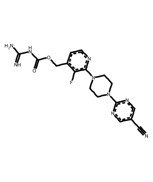 N#Cc1cnc(N2CCN(c3nccc(COC(=O)NC(=N)N)c3F)CC2)nc1